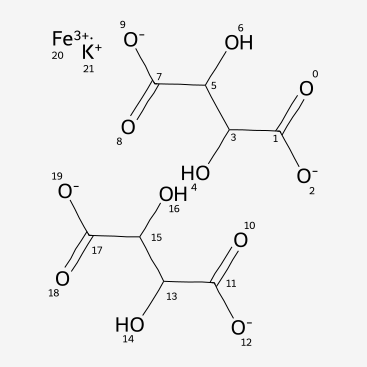 O=C([O-])C(O)C(O)C(=O)[O-].O=C([O-])C(O)C(O)C(=O)[O-].[Fe+3].[K+]